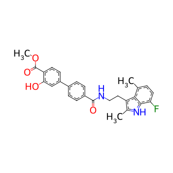 COC(=O)c1ccc(-c2ccc(C(=O)NCCc3c(C)[nH]c4c(F)ccc(C)c34)cc2)cc1O